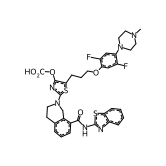 CN1CCN(c2cc(F)c(OCCCc3sc(N4CCc5cccc(C(=O)Nc6nc7ccccc7s6)c5C4)nc3OC(=O)O)cc2F)CC1